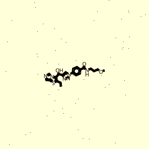 CCc1sc2cncn2c1C(O)c1cn(-c2ccc(C(=O)NCCCOC)cc2)nn1